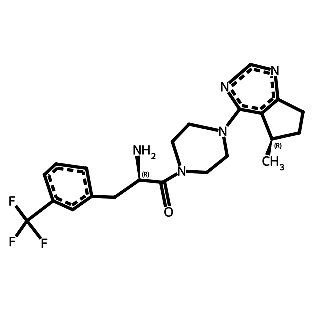 C[C@@H]1CCc2ncnc(N3CCN(C(=O)[C@H](N)Cc4cccc(C(F)(F)F)c4)CC3)c21